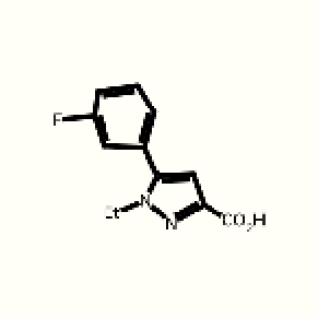 CCn1nc(C(=O)O)cc1-c1cccc(F)c1